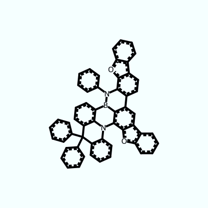 c1ccc(N2B3c4cccc5c4N(c4ccccc4C5(c4ccccc4)c4ccccc4)c4c3c(cc3c4oc4ccccc43)-c3ccc4c(oc5ccccc54)c32)cc1